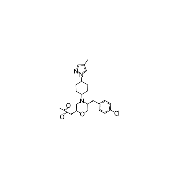 Cc1cnn(C2CCC(N3C[C@H](CS(C)(=O)=O)OC[C@@H]3Cc3ccc(Cl)cc3)CC2)c1